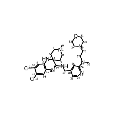 CN1CCC2(CC1)Nc1cc(Cl)c(Cl)cc1N=C2NCc1ccnc(N(C)CCN2CCOCC2)c1